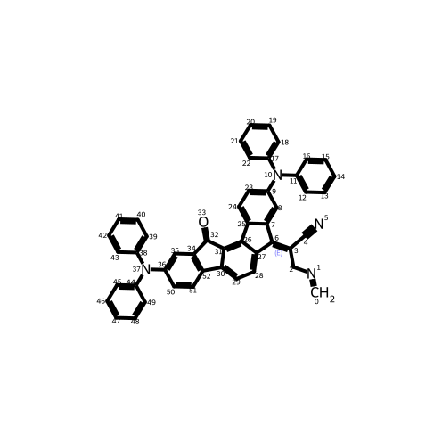 C=NC/C(C#N)=C1/c2cc(N(c3ccccc3)c3ccccc3)ccc2-c2c1ccc1c2C(=O)c2cc(N(c3ccccc3)c3ccccc3)ccc2-1